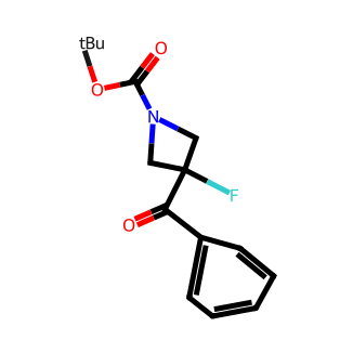 CC(C)(C)OC(=O)N1CC(F)(C(=O)c2ccccc2)C1